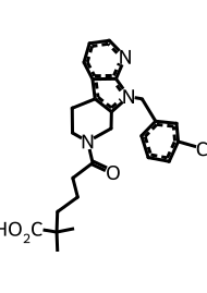 CC(C)(CCCC(=O)N1CCc2c(n(Cc3cccc(Cl)c3)c3ncccc23)C1)C(=O)O